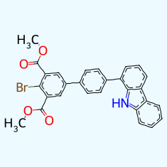 COC(=O)c1cc(-c2ccc(-c3cccc4c3[nH]c3ccccc34)cc2)cc(C(=O)OC)c1Br